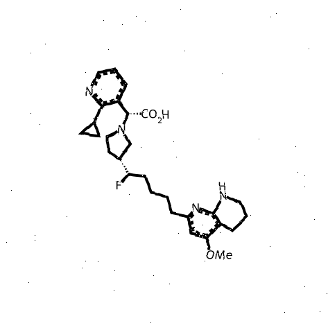 COc1cc(CCCCC(F)[C@@H]2CCN([C@@H](C(=O)O)c3cccnc3C3CC3)C2)nc2c1CCCN2